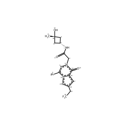 CC(C)c1nn(CC(=O)N[C@H]2C[C@@](C)(O)C2)c(=O)c2cc(CC(F)(F)F)nn12